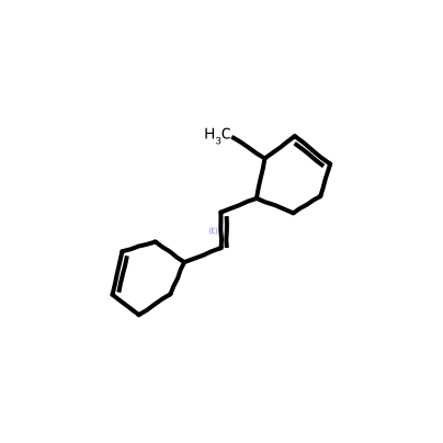 CC1C=CCCC1/C=C/C1CC=CCC1